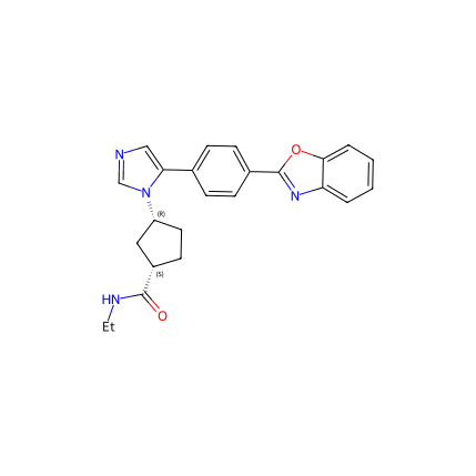 CCNC(=O)[C@H]1CC[C@@H](n2cncc2-c2ccc(-c3nc4ccccc4o3)cc2)C1